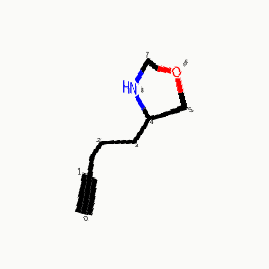 C#CCCC1COCN1